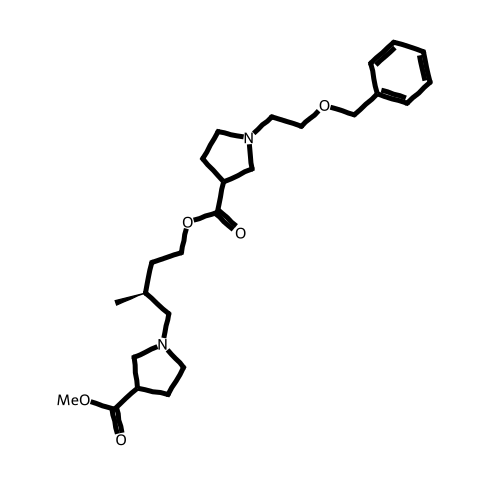 COC(=O)C1CCN(C[C@@H](C)CCOC(=O)C2CCN(CCOCc3ccccc3)C2)C1